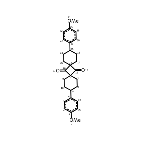 COc1ccc(C2CCC3(CC2)C(=O)C2(CCC(c4ccc(OC)cc4)CC2)C3=O)cc1